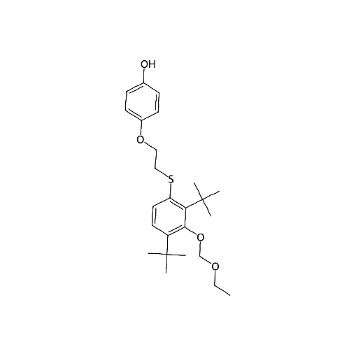 CCOCOc1c(C(C)(C)C)ccc(SCCOc2ccc(O)cc2)c1C(C)(C)C